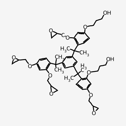 CC(C)(c1cc(C(C)(C)c2ccc(OCCCO)cc2OCC2CO2)cc(C(C)(C)c2ccc(OCC3CO3)cc2OCC2CO2)c1)c1ccc(OCC2CO2)cc1OCCCO